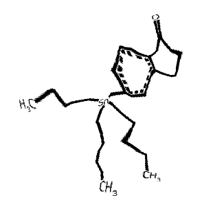 CCC[CH2][Sn]([CH2]CCC)([CH2]CCC)[c]1ccc2c(c1)CCC2=O